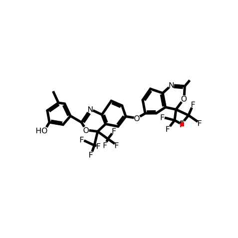 CC1=Nc2ccc(Oc3ccc4c(c3)C(C(F)(F)F)(C(F)(F)F)OC(c3cc(C)cc(O)c3)=N4)cc2C(C(F)(F)F)(C(F)(F)F)O1